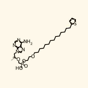 C[C@H](Cn1cnc2c(N)ncnc21)OCP(=O)(O)OCCOCCCCCCCCCCCCCCc1cccs1